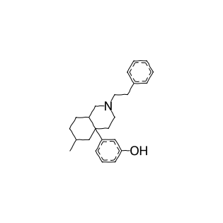 CC1CCC2CN(CCc3ccccc3)CCC2(c2cccc(O)c2)C1